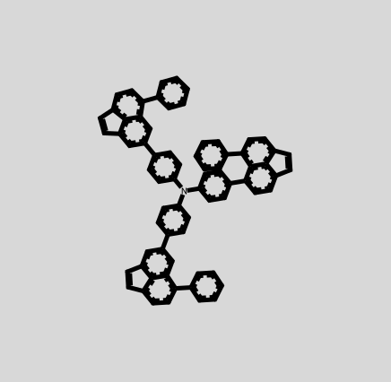 C1=Cc2cc(-c3ccc(N(c4ccc(-c5cc6c7c(ccc(-c8ccccc8)c7c5)C=C6)cc4)c4ccc(-c5ccc6c7c(ccc(-c8ccccc8)c57)C=C6)cc4)cc3)cc3c(-c4ccccc4)ccc1c23